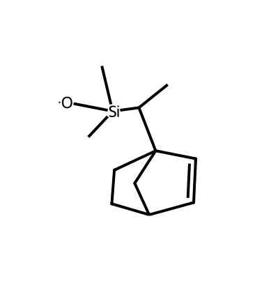 CC(C12C=CC(CC1)C2)[Si](C)(C)[O]